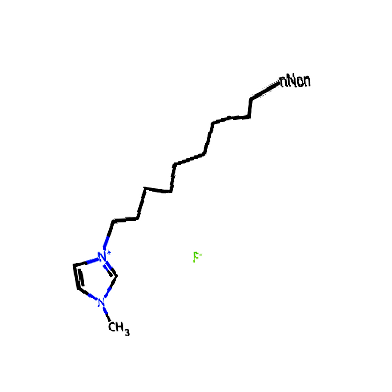 CCCCCCCCCCCCCCCCCC[n+]1ccn(C)c1.[F-]